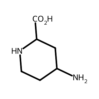 NC1CCNC(C(=O)O)C1